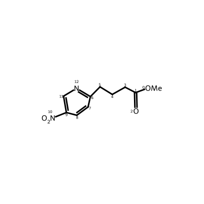 COC(=O)CCCc1ccc([N+](=O)[O-])cn1